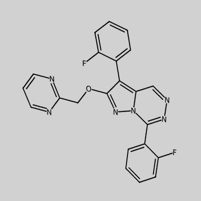 Fc1ccccc1-c1c(OCc2ncccn2)nn2c(-c3ccccc3F)nncc12